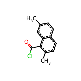 Cc1ccc2ccc(C)c(C(=O)Cl)c2c1